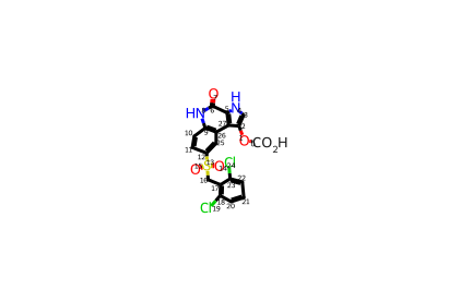 O=C(O)Oc1c[nH]c2c(=O)[nH]c3ccc(S(=O)(=O)Cc4c(Cl)cccc4Cl)cc3c12